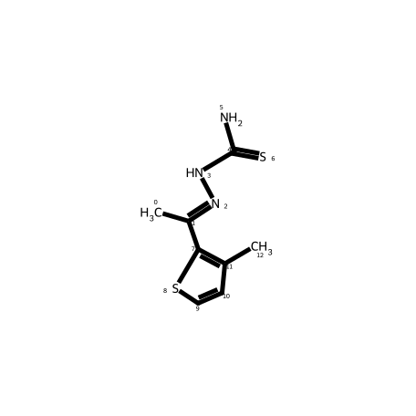 CC(=NNC(N)=S)c1sccc1C